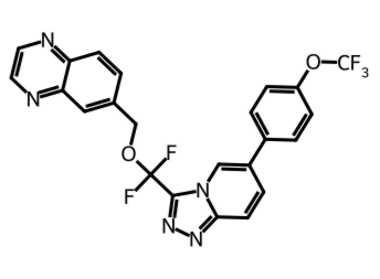 FC(F)(F)Oc1ccc(-c2ccc3nnc(C(F)(F)OCc4ccc5nccnc5c4)n3c2)cc1